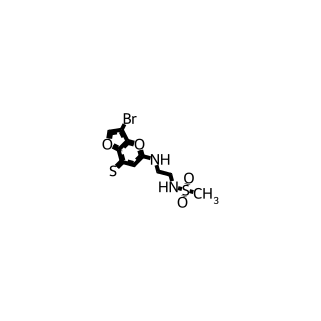 CS(=O)(=O)NCCNc1cc(=S)c2occ(Br)c2o1